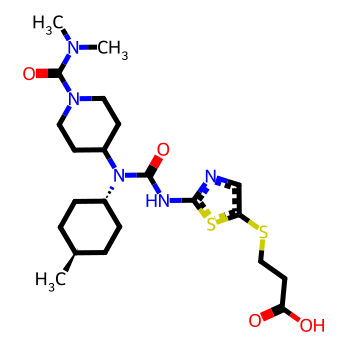 CN(C)C(=O)N1CCC(N(C(=O)Nc2ncc(SCCC(=O)O)s2)[C@H]2CC[C@H](C)CC2)CC1